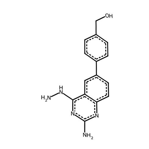 NNc1nc(N)nc2ccc(-c3ccc(CO)cc3)cc12